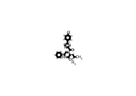 CC(C)C[C@H]1C(=O)N[C@@H](c2ccccc2)CN1C(=O)c1noc(-c2ccc(Cl)cc2)n1